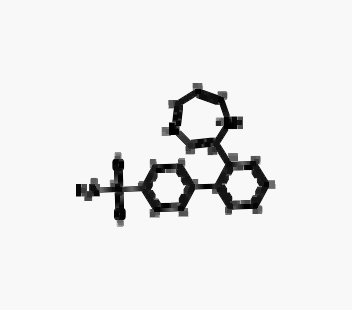 NS(=O)(=O)c1ccc(-c2ccccc2C2=CN=CC=CN2)cc1